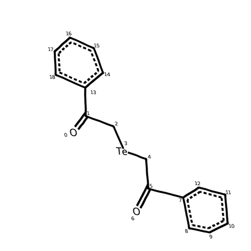 O=C(C[Te]CC(=O)c1ccccc1)c1ccccc1